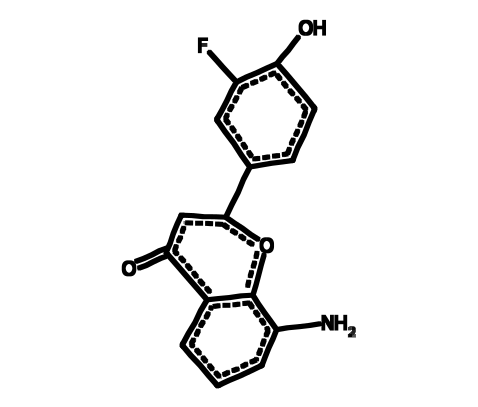 Nc1cccc2c(=O)cc(-c3ccc(O)c(F)c3)oc12